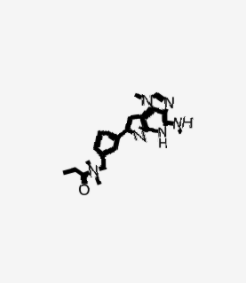 CCC(=O)[N+](C)(C)Cc1cccc(-c2cc3c4c(ncn4C)c(NC)[nH]c-3n2)c1